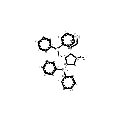 OCC[C@@H]1[C@@H](CP(c2ccccc2)c2ccccc2)[C@@H](P(c2ccccc2)c2ccccc2)C[C@@H]1O